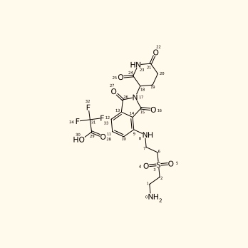 NCCS(=O)(=O)CCNc1cccc2c1C(=O)N(C1CCC(=O)NC1=O)C2=O.O=C(O)C(F)(F)F